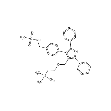 C[Si](C)(C)CCOCn1c(-c2ccccc2)nc(-c2ccncc2)c1-c1ccc(CNS(C)(=O)=O)cc1